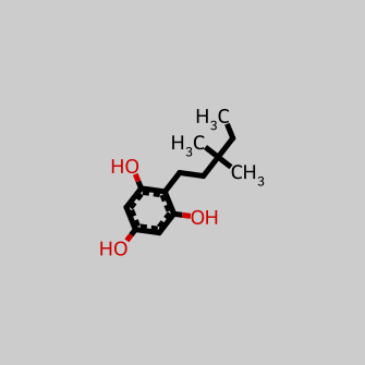 CCC(C)(C)CCc1c(O)cc(O)cc1O